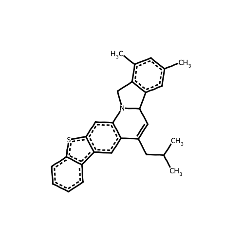 Cc1cc(C)c2c(c1)C1C=C(CC(C)C)c3cc4c(cc3N1C2)sc1ccccc14